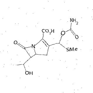 CSC(OC(N)=O)C1=C(C(=O)O)N2C(=O)C(C(C)O)C2C1